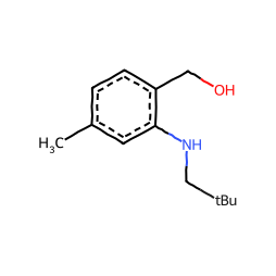 Cc1ccc(CO)c(NCC(C)(C)C)c1